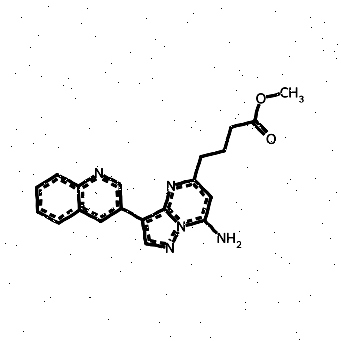 COC(=O)CCCc1cc(N)n2ncc(-c3cnc4ccccc4c3)c2n1